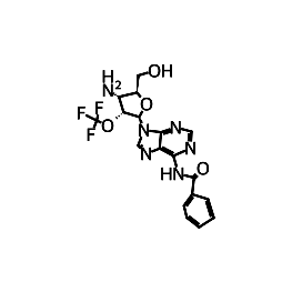 N[C@H]1[C@@H](OC(F)(F)F)[C@H](n2cnc3c(NC(=O)c4ccccc4)ncnc32)O[C@@H]1CO